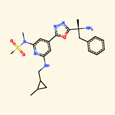 CC1CC1CNc1cc(-c2nnc([C@](C)(N)Cc3ccccc3)o2)cc(N(C)S(C)(=O)=O)n1